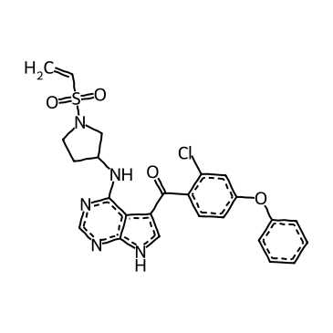 C=CS(=O)(=O)N1CCC(Nc2ncnc3[nH]cc(C(=O)c4ccc(Oc5ccccc5)cc4Cl)c23)C1